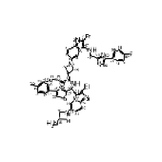 CCc1nc2ccc(N3CC(N(NC(c4nc(-c5ccc(F)cc5)cs4)c4c(CC)nc5ccc(N6CC(N)C6)cn45)C(=O)OC(C)(C)C)C3)cn2c1NCc1nc(-c2ccc(F)cc2)cs1